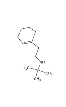 CC(C)(C)NCCC1=CCCCC1